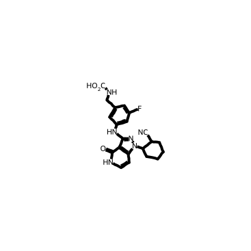 N#CC1CCCCC1n1nc(Nc2cc(F)cc(CNC(=O)O)c2)c2c(=O)[nH]ccc21